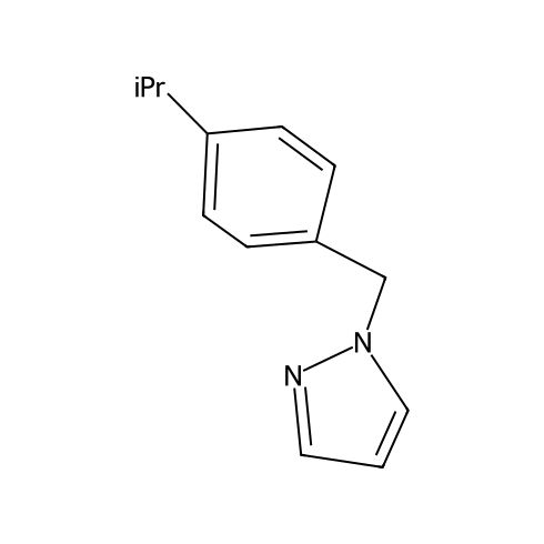 CC(C)c1ccc(Cn2cccn2)cc1